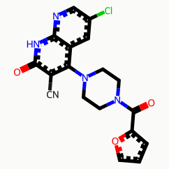 N#Cc1c(N2CCN(C(=O)c3ccco3)CC2)c2cc(Cl)cnc2[nH]c1=O